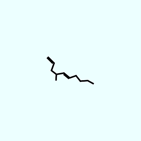 C=CCC(C)C=CCCCC